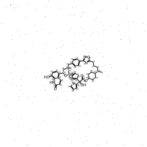 CN(CCCc1nc(-c2ccc(CNC[C@@H](O[Si](C)(C)C(C)(C)C)c3ccc(O)c4[nH]c(=O)ccc34)cc2)no1)C1CCC(OC(=O)C(O)(c2cccs2)c2cccs2)CC1